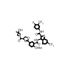 COc1ccc(C2=NC(C(=O)N3CC(C)(O)C3)CO2)cc1C(=O)Nc1c(C(=O)Nc2ccc(F)c(C(F)(F)F)c2)sc2cc(C(F)(F)F)ccc12